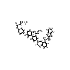 Cc1c(Oc2ccc(C[C@@H](C)CC(=O)O)cc2)cccc1-c1ccc(N2CCc3cccc(C(=O)Nc4nc5ccccc5s4)c3C2)nc1C(=O)OC(C)(C)C